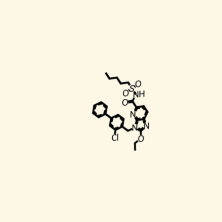 CCCCCS(=O)(=O)NC(=O)c1ccc2nc(OCC)n(Cc3ccc(-c4ccccc4)cc3Cl)c2n1